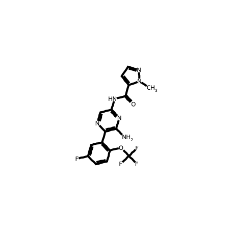 Cn1nccc1C(=O)Nc1cnc(-c2cc(F)ccc2OC(F)(F)F)c(N)n1